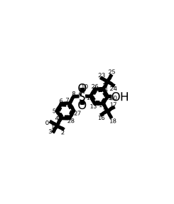 CC(C)(C)c1ccc(CS(=O)(=O)c2cc(C(C)(C)C)c(O)c(C(C)(C)C)c2)cc1